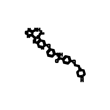 CCn1c(-c2nonc2N)nc2cnc(Oc3cccc(NC(=O)c4ccc(OCCN5CCNCC5)cc4)c3)cc21